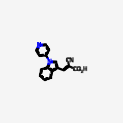 N#C/C(=C\c1cn(-c2ccncc2)c2ccccc12)C(=O)O